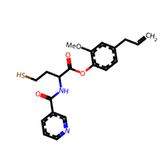 C=CCc1ccc(OC(=O)C(CCS)NC(=O)c2cccnc2)c(OC)c1